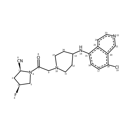 N#C[C@@H]1C[C@H](F)CN1C(=O)CN1CCC(Nc2ccc(Cl)c3cnccc23)CC1